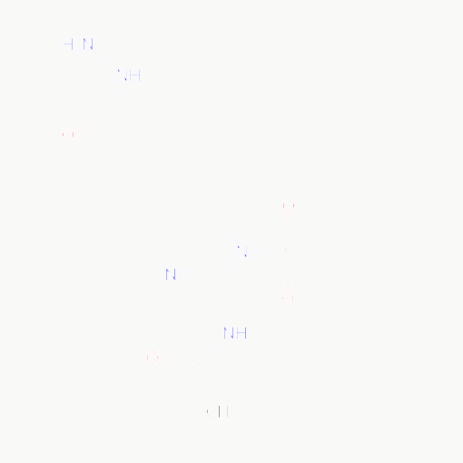 CC(=O)Nc1nc2c(n1S(=O)(=O)C1CCC1)CCC(C(=O)NN)=C2